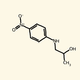 CC(O)CNc1[c]cc([N+](=O)[O-])cc1